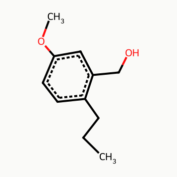 CCCc1ccc(OC)cc1CO